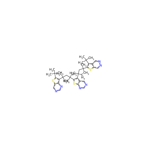 CC(C)(C)c1sc2cncnc2c1C(C)(C)CC(C)(C)c1sc2ncncc2c1C(C)(C)CC(C)(C)c1sc2cnncc2c1C(C)(C)C